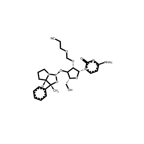 CC(=O)Nc1ccn([C@@H]2O[C@H](CO)C(O[P@@]3O[C@](C)(c4ccccc4)[C@@H]4CCCN43)[C@@H]2OCOCCC#N)c(=O)n1